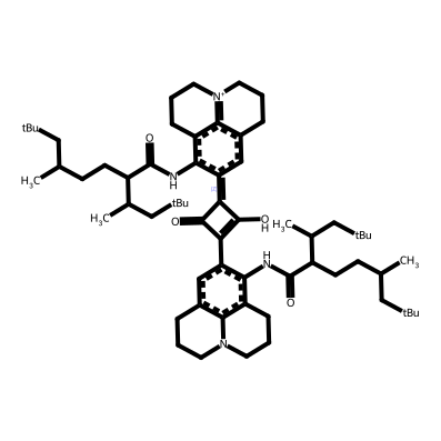 CC(CCC(C(=O)Nc1c(C2=C(O)/C(=c3\cc4c5c(c3NC(=O)C(CCC(C)CC(C)(C)C)C(C)CC(C)(C)C)CCC[N+]=5CCC4)C2=O)cc2c3c1CCCN3CCC2)C(C)CC(C)(C)C)CC(C)(C)C